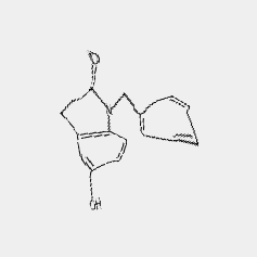 O=C1CCc2cc(O)ccc2N1Cc1ccccc1